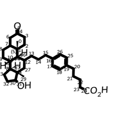 C[C@]12CCC(=O)CC1CC[C@@H]1[C@H]2C(CCCc2ccc(CCCCC(=O)O)cc2)C[C@]2(C)C(O)CC[C@@H]12